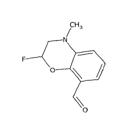 CN1CC(F)Oc2c(C=O)cccc21